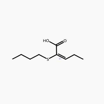 CC/C=C(/SCCCC)C(=O)O